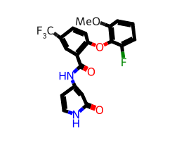 COc1cccc(F)c1Oc1ccc(C(F)(F)F)cc1C(=O)Nc1cc[nH]c(=O)c1